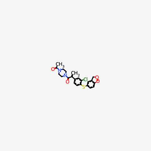 C=C(C(=O)N1CCN(C(C)=O)CC1)c1ccc(Sc2ccc3c(c2)COO3)c(Cl)c1